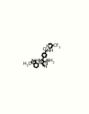 Cn1ncc2c1CCC[C@H]2N1NC(c2ccc(C(=O)Nc3cc(C(F)(F)F)ccn3)cc2)=C2C1=CN=CN2N